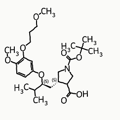 COCCCOc1cc(O[C@@H](C[C@@H]2CN(C(=O)OC(C)(C)C)CC2C(=O)O)C(C)C)ccc1OC